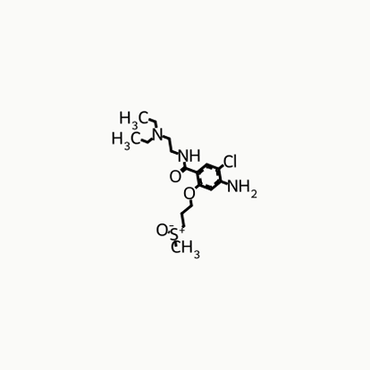 CCN(CC)CCNC(=O)c1cc(Cl)c(N)cc1OCCC[S+](C)[O-]